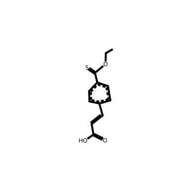 CCOC(=S)c1ccc(C=CC(=O)O)cc1